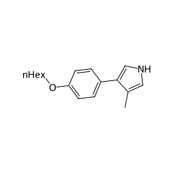 CCCCCCOc1ccc(-c2c[nH]cc2C)cc1